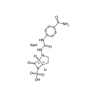 NC(=O)c1ccc(NC(=O)NN2CC[C@@H]3[C@@H]2C(=O)N3S(=O)(=O)O)cc1.[NaH]